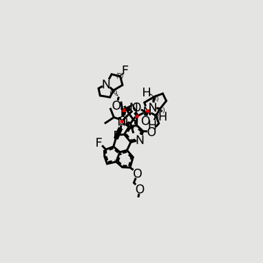 COCOc1cc(-c2nc3c4c(nc(OC[C@]56CCCN5C[C@H](F)C6)nc4c2F)N2C[C@H]4CC[C@@H]([C@@H]2CO3)N4C(=O)OC(C)(C)C)c2c(C#C[Si](C(C)C)(C(C)C)C(C)C)c(F)ccc2c1